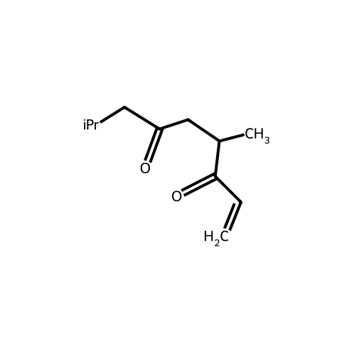 C=CC(=O)C(C)CC(=O)CC(C)C